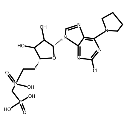 O=P(O)(O)CP(=O)(O)CC[C@H]1O[C@@H](n2cnc3c(N4CCCC4)nc(Cl)nc32)C(O)C1O